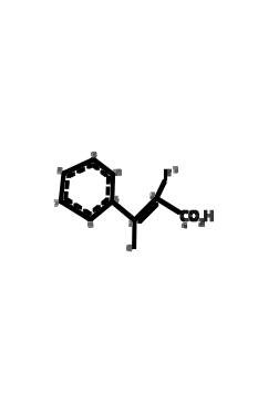 CC(=C(F)C(=O)O)c1ccccc1